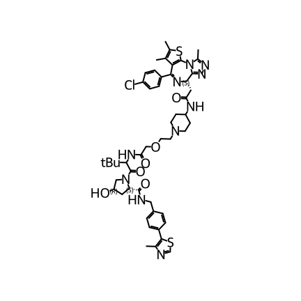 Cc1ncsc1-c1ccc(CNC(=O)[C@@H]2C[C@@H](O)CN2C(=O)C(NC(=O)COCCN2CCC(NC(=O)C[C@@H]3N=C(c4ccc(Cl)cc4)c4c(sc(C)c4C)-n4c(C)nnc43)CC2)C(C)(C)C)cc1